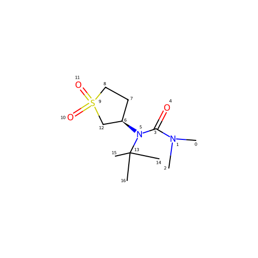 CN(C)C(=O)N([C@@H]1CCS(=O)(=O)C1)C(C)(C)C